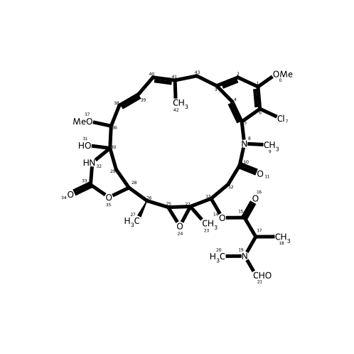 COc1cc2cc(c1Cl)N(C)C(=O)CC(OC(=O)C(C)N(C)C=O)C1(C)OC1[C@@H](C)C1CC(O)(NC(=O)O1)C(OC)/C=C/C=C(\C)C2